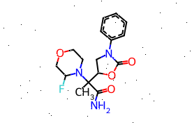 CC(C(N)=O)(C1CN(c2ccccc2)C(=O)O1)N1CCOCC1F